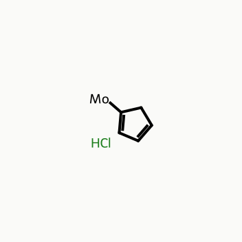 Cl.[Mo][C]1=CC=CC1